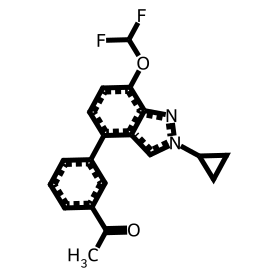 CC(=O)c1cccc(-c2ccc(OC(F)F)c3nn(C4CC4)cc23)c1